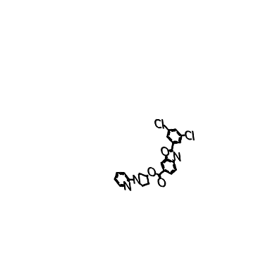 O=C(OC1CCN(c2ccccn2)C1)c1ccc2nc(-c3cc(Cl)cc(Cl)c3)oc2c1